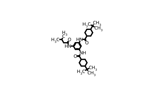 CC(C)CC(=O)Nc1cc(NC(=O)C2CCC(C(C)(C)C)CC2)cc(NC(=O)C2CCC(C(C)(C)C)CC2)c1